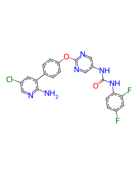 Nc1ncc(Cl)cc1-c1ccc(Oc2ncc(NC(=O)Nc3ccc(F)cc3F)cn2)cc1